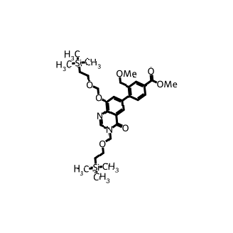 COCc1cc(C(=O)OC)ccc1-c1cc(OCOCC[Si](C)(C)C)c2ncn(COCC[Si](C)(C)C)c(=O)c2c1